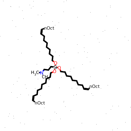 CCCCCCCC/C=C\CCCCCCCCO[Si](CCCN(C)C)(OCCCCCCCC/C=C\CCCCCCCC)OCCCCCCCC/C=C\CCCCCCCC